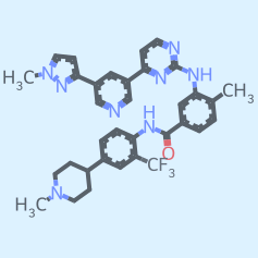 Cc1ccc(C(=O)Nc2ccc(C3CCN(C)CC3)cc2C(F)(F)F)cc1Nc1nccc(-c2cncc(-c3ccn(C)n3)c2)n1